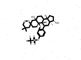 CC1(C)COOC2(CC[C@@]34Sc5cc(OS(=O)(=O)C(F)(F)F)ccc5[C@H]5C[C@]6(C)[C@@H](O)CC[C@H]6[C@H](CC[C@@]3(O)C2)[C@H]54)C1